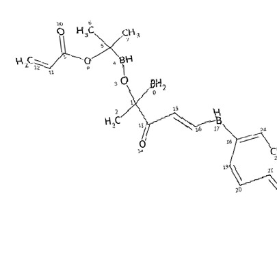 BC(C)(OBC(C)(C)OC(=O)C=C)C(=O)/C=C/BC(/C=C\C=C/C)=C/C